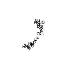 CNC(=O)N1CCC2=C(C1)C(N1CCCc3cc(-c4cnn(CCNC(=O)CCOCCOCCOCCNc5cccc6c5C(=O)C(C5CCC(=O)NC5=O)C6=O)c4)c(C(F)F)cc31)=NC2C1CCOCC1